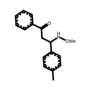 CONC(CC(=O)c1ccccc1)c1ccc(C)cc1